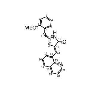 COc1ccccc1N=C1NC(=O)C(=Cc2cccc3cccnc23)S1